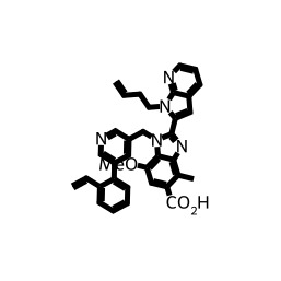 C=CCCn1c(-c2nc3c(C)c(C(=O)O)cc(OC)c3n2Cc2cncc(-c3ccccc3C=C)c2)cc2cccnc21